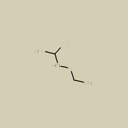 CCCCONC(C)O